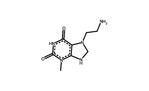 Cn1c2c(c(=O)[nH]c1=O)N(CCN)CN2